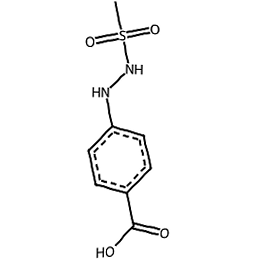 CS(=O)(=O)NNc1ccc(C(=O)O)cc1